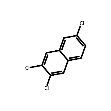 Clc1c[c]c2cc(Cl)c(Cl)[c]c2c1